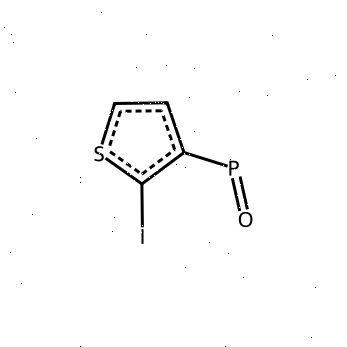 O=Pc1ccsc1I